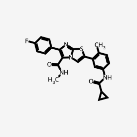 CNC(=O)c1c(-c2ccc(F)cc2)nc2sc(-c3cc(NC(=O)C4CC4)ccc3C)cn12